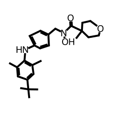 Cc1cc(C(C)(C)C)cc(C)c1Nc1ccc(CN(O)C(=O)C2(C)CCOCC2)cc1